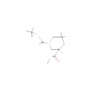 COC(=O)C1(C)CN(C(=O)OC(C)(C)C)CC(F)(F)C1